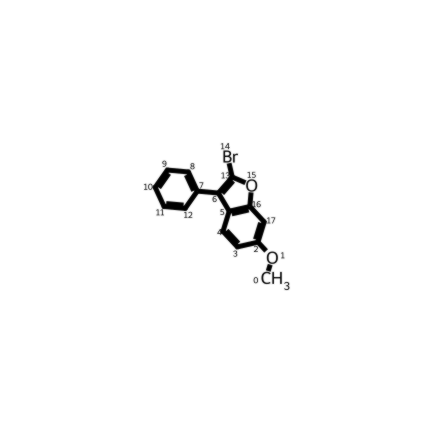 COc1ccc2c(-c3ccccc3)c(Br)oc2c1